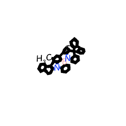 Cc1cc2c3c4c1c1c5ccccc5ccc1n4-c1ccccc1B3N1c3ccccc3C3(c4ccccc4-c4ccccc43)c3cccc-2c31